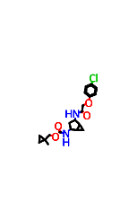 CC1(COC(=O)N[C@H]2C[C@@H](NC(=O)COc3ccc(Cl)cc3)C3CC32)CC1